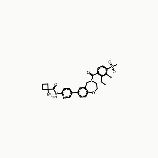 CCc1c(C(=O)N2CCOc3ccc(-c4ccc(NC(=O)C5(N)CCC5)nc4)cc3C2)ccc(S(C)(=O)=O)c1F